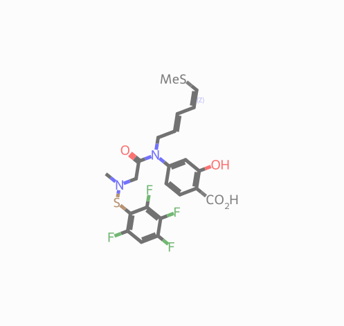 CS/C=C\C=CCN(C(=O)CN(C)Sc1c(F)cc(F)c(F)c1F)c1ccc(C(=O)O)c(O)c1